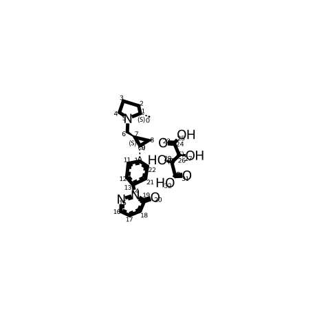 C[C@H]1CCCN1C[C@H]1C[C@@H]1c1ccc(-n2ncccc2=O)cc1.O=C(O)[C@@H](O)[C@H](O)C(=O)O